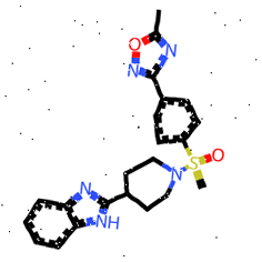 C=S(=O)(c1ccc(-c2noc(C)n2)cc1)N1CCC(c2nc3ccccc3[nH]2)CC1